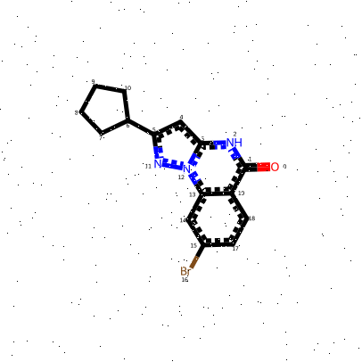 O=c1[nH]c2cc(C3CCCC3)nn2c2cc(Br)ccc12